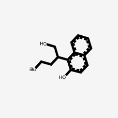 CCC(C)CCC(CO)c1c(O)ccc2ccccc12